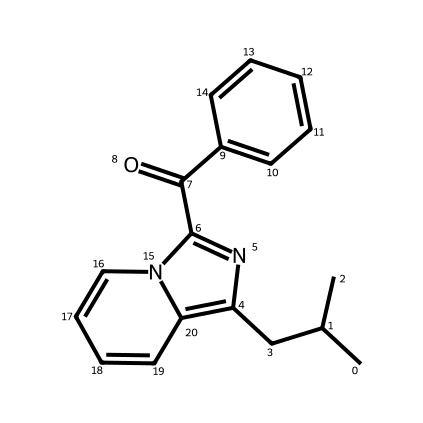 CC(C)Cc1nc(C(=O)c2ccccc2)n2ccccc12